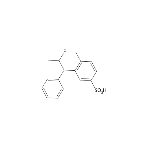 Cc1ccc(S(=O)(=O)O)cc1C(c1ccccc1)C(C)F